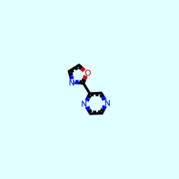 c1cnc(-c2ncco2)cn1